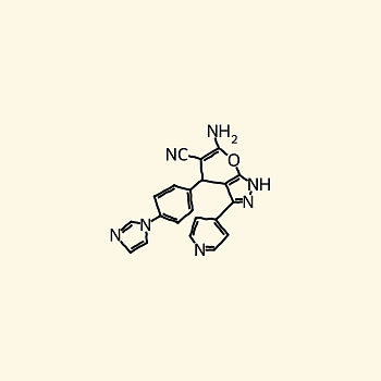 N#CC1=C(N)Oc2[nH]nc(-c3ccncc3)c2C1c1ccc(-n2ccnc2)cc1